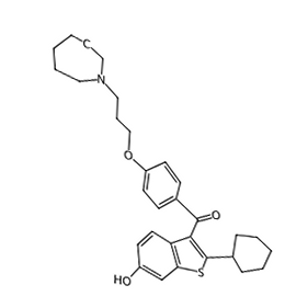 O=C(c1ccc(OCCCN2CCCCCC2)cc1)c1c(C2CCCCC2)sc2cc(O)ccc12